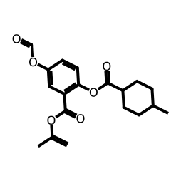 C=C(C)OC(=O)c1cc(OC=O)ccc1OC(=O)C1CCC(C)CC1